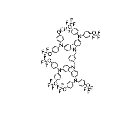 COc1ccc(N(c2ccc(OC(F)(F)F)cc2)c2ccc3c(c2)c2cc(N(c4ccc(OC(F)(F)F)cc4)c4ccc(OC(F)(F)F)cc4)ccc2n3Cc2cccc(Cn3c4ccc(N(c5ccc(OC(F)(F)F)cc5)c5ccc(OC(F)(F)F)cc5)cc4c4cc(N(c5ccc(OC(F)(F)F)cc5)c5ccc(OC(F)(F)F)cc5)ccc43)c2)cc1